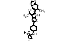 Cc1cc2ncnn2cc1-c1[nH]c2sc(C3CCC(NC4(C)COC4)CC3)nc2c1C(C)C